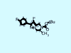 C[C@H]1Cn2nc(-c3ccc(F)cc3)c(I)c2CN1C(=O)OC(C)(C)C